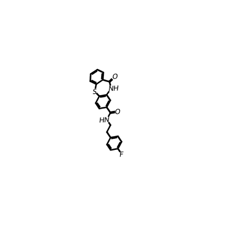 O=C(NCCc1ccc(F)cc1)c1ccc2c(c1)NC(=O)c1ccccc1S2